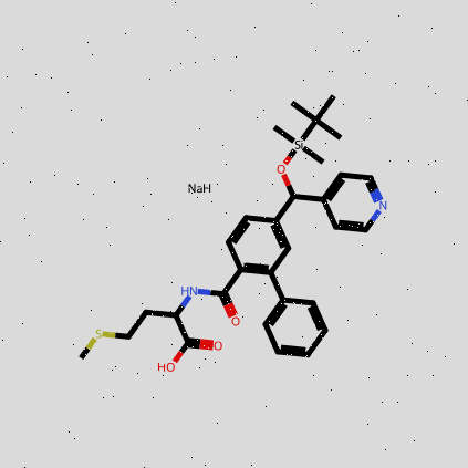 CSCCC(NC(=O)c1ccc(C(O[Si](C)(C)C(C)(C)C)c2ccncc2)cc1-c1ccccc1)C(=O)O.[NaH]